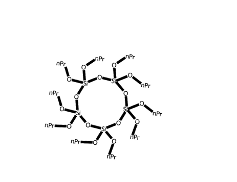 CCCO[Si]1(OCCC)O[Si](OCCC)(OCCC)O[Si](OCCC)(OCCC)O[Si](OCCC)(OCCC)O[Si](OCCC)(OCCC)O1